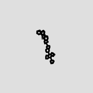 c1ccc(-c2c3ccccc3c(-c3ccc4cc(-c5ccc6c(ccc7c8ccc9ccccc9c8sc67)c5)ccc4c3)c3ccccc23)cc1